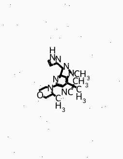 CC1COCCN1c1cc(C(C)(C)C#N)c2c(n1)c(-c1cc[nH]n1)nn2C